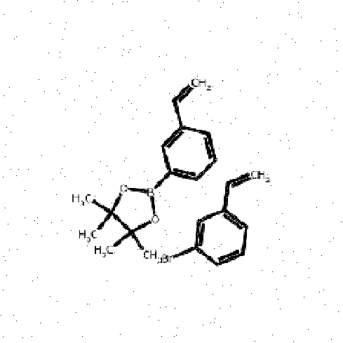 C=Cc1cccc(B2OC(C)(C)C(C)(C)O2)c1.C=Cc1cccc(Br)c1